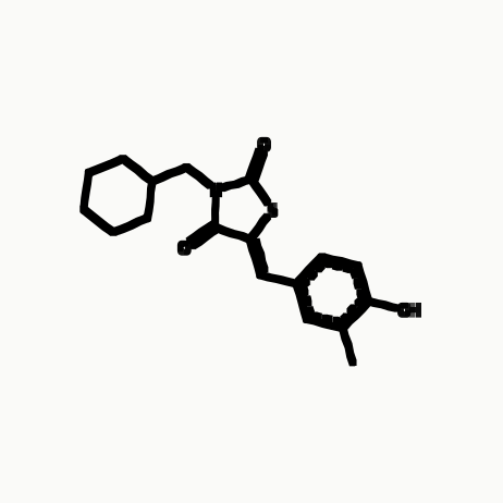 Cc1cc(/C=C2\SC(=O)N(CC3CCCCC3)C2=O)ccc1O